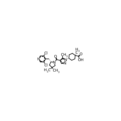 Cc1c(C(=O)N2CC(C)(C)C[C@@H]2Cc2c(Cl)cncc2Cl)cnn1[C@H]1CC[C@](C)(C(=O)O)CC1